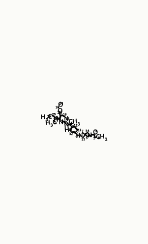 C=CC(=O)N1CC2(CN(Cc3ccc(C(C)Nc4ncc(COC=O)c(N(C)CC)n4)cc3)C2)C1